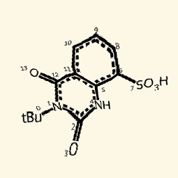 CC(C)(C)n1c(=O)[nH]c2c(S(=O)(=O)O)cccc2c1=O